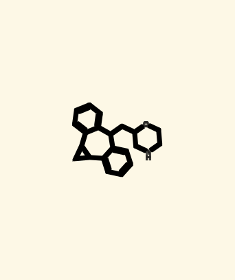 c1ccc2c(c1)C(CC1CNCCO1)c1ccccc1C1CC21